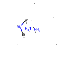 CCNC(C)C.N.N